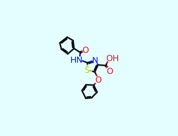 O=C(Nc1nc(C(=O)O)c(Oc2ccccc2)s1)c1ccccc1